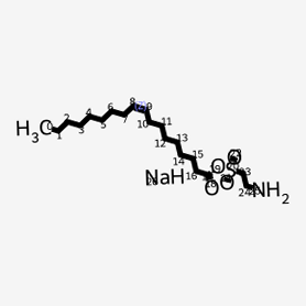 CCCCCCCC/C=C\CCCCCCCC(=O)OS(=O)(=O)CCN.[NaH]